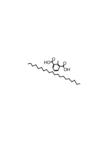 CCCCCCCCCCCCCCCCCCCC.Cc1c(C(=O)O)cccc1C(=O)O